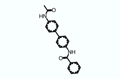 CC(=O)Nc1ccc(-c2ccc(NC(=O)c3ccccc3)cc2)cc1